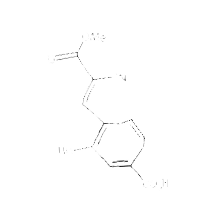 COC(=O)/C(C#N)=C/c1ccc(C(=O)O)cc1O